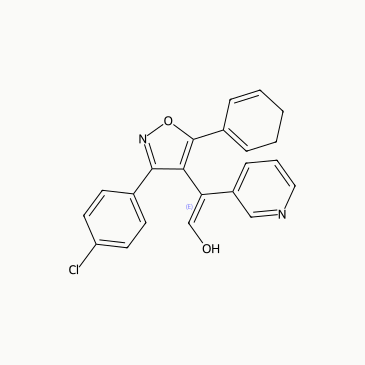 O/C=C(\c1cccnc1)c1c(-c2ccc(Cl)cc2)noc1C1=CCCC=C1